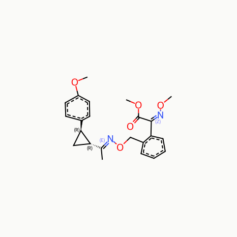 CO/N=C(\C(=O)OC)c1ccccc1CO/N=C(\C)[C@@H]1C[C@H]1c1ccc(OC)cc1